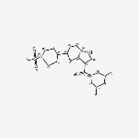 CC1CC(C)CN(C(=O)C2CNN3CCC(C4CCN(S(C)(=O)=O)CC4)CC23)C1